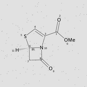 COC(=O)C1=CS[C@@H]2CC(=O)N12